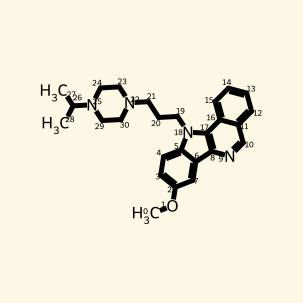 COc1ccc2c(c1)c1ncc3ccccc3c1n2CCCN1CCN(C(C)C)CC1